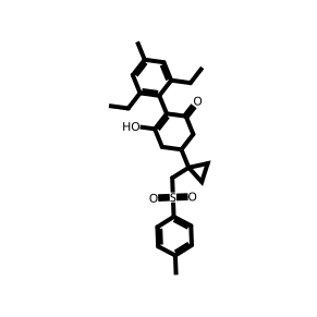 CCc1cc(C)cc(CC)c1C1=C(O)CC(C2(CS(=O)(=O)c3ccc(C)cc3)CC2)CC1=O